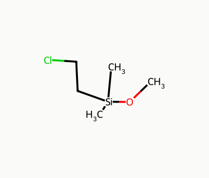 CO[Si](C)(C)CCCl